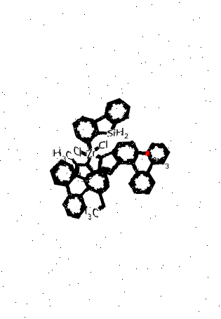 CCc1ccc2c(c1-c1ccccc1-c1ccccc1)C=C(C)[CH]2[Zr]([Cl])([Cl])([c]1cccc2c1[SiH2]c1ccccc1-2)[CH]1C(C)=Cc2c1ccc(CC)c2-c1ccccc1-c1ccccc1